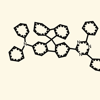 c1ccc(-c2nc(-c3ccccc3)nc(-c3ccc4c(c3)C3(c5ccccc5-c5ccccc53)c3cc(N(c5ccccc5)c5ccccc5)ccc3-4)n2)cc1